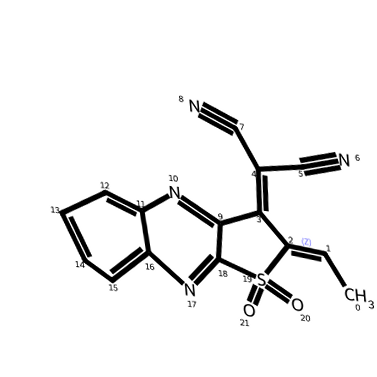 C/C=C1/C(=C(C#N)C#N)c2nc3ccccc3nc2S1(=O)=O